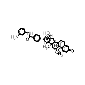 C[C@]12C=CC(=O)C=C1CC[C@H]1[C@@H]3C[C@H]4O[C@@H](c5ccc(C(=O)Nc6cccc(N)c6)cc5)O[C@@]4(C(=O)CO)[C@@]3(C)C[C@H](O)[C@@]12F